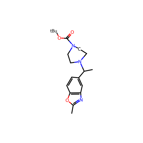 Cc1nc2cc(C(C)N3CCN(C(=O)OC(C)(C)C)CC3)ccc2o1